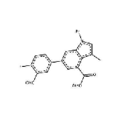 COC(=O)c1cc(-c2ccc(F)c(C=O)c2)cc2c1c(C)cn2C(C)C